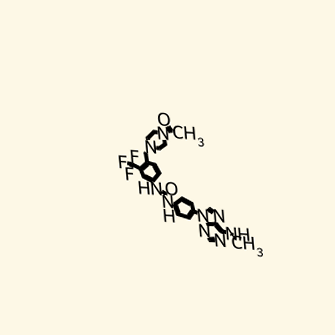 CNc1ncnc2c1ncn2-c1ccc(NC(=O)Nc2ccc(CN3CCN(C(C)=O)CC3)c(C(F)(F)F)c2)cc1